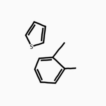 Cc1ccccc1C.c1ccsc1